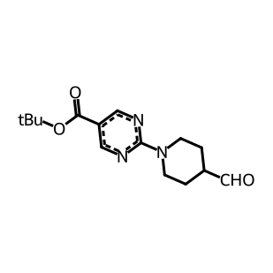 CC(C)(C)OC(=O)c1cnc(N2CCC(C=O)CC2)nc1